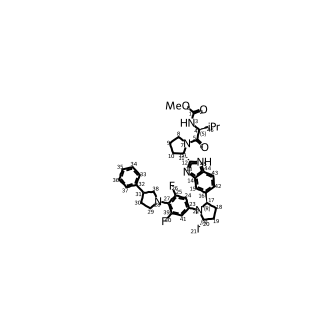 COC(=O)N[C@H](C(=O)N1CCC[C@H]1c1nc2cc([C@H]3CC[C@H](I)N3c3cc(F)c(N4CCC(c5ccccc5)C4)c(F)c3)ccc2[nH]1)C(C)C